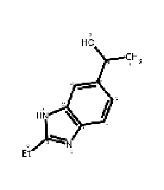 CCc1nc2ccc(C(C)O)cc2[nH]1